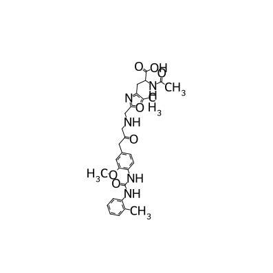 COc1cc(CC(=O)CNCc2nc(CC(NC(C)=O)C(=O)O)c(C)o2)ccc1NC(=O)Nc1ccccc1C